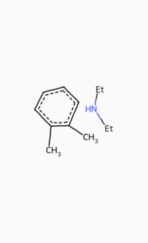 CCNCC.Cc1ccccc1C